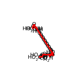 O=C(O)CC[C@H](NC(=O)N[C@@H](CCC(=O)NCCCCCCCC(=O)NC(Cc1ccccc1)C(=O)NC(Cc1ccccc1)C(=O)NCCOCCOCCOCCOCCOCCOCCOCCOCCOCCOCCOCCOCCC(=O)NCCNC(=S)Nc1ccc(-c2c3ccc(=O)cc-3oc3cc(O)ccc23)c(C(=O)O)c1)C(=O)O)C(=O)O